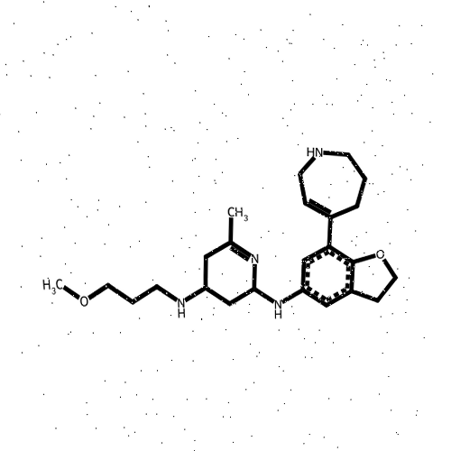 COCCCNC1CC(C)=NC(Nc2cc3c(c(C4=CCNCCC4)c2)OCC3)C1